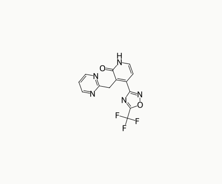 O=c1[nH]ccc(-c2noc(C(F)(F)F)n2)c1Cc1ncccn1